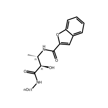 CCCCCCCCNC(=O)[C@H](O)[C@H](C)NC(=O)c1cc2ccccc2o1